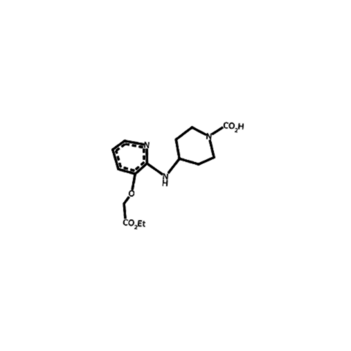 CCOC(=O)COc1cccnc1NC1CCN(C(=O)O)CC1